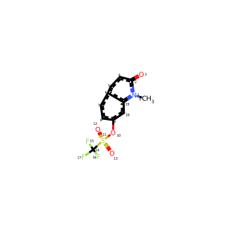 Cn1c(=O)ccc2ccc(OS(=O)(=O)C(F)(F)F)cc21